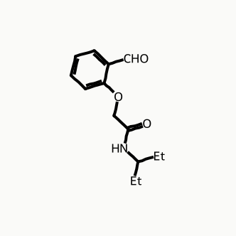 CCC(CC)NC(=O)COc1ccccc1C=O